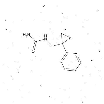 NC(=O)NCC1(c2ccccc2)CC1